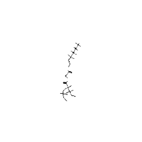 CCC(C)(C)CC(C)(C(=O)OCC(=O)OCCC(F)(F)C(F)(F)C(F)(F)C(F)(F)F)C(C)(C)CC